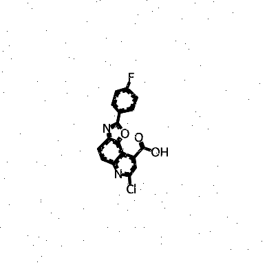 O=C(O)c1cc(Cl)nc2ccc3nc(-c4ccc(F)cc4)oc3c12